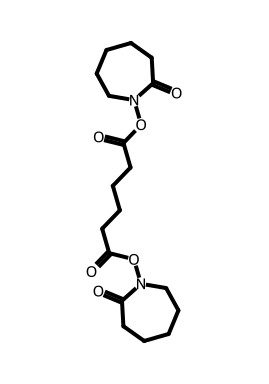 O=C(CCCCC(=O)ON1CCCCCC1=O)ON1CCCCCC1=O